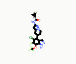 O=C(Nc1cc2cc(-c3c(Cl)c(F)c(OC(F)(F)F)c4[nH]ncc34)ccn2n1)[C@@H]1C[C@@H]1F